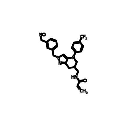 C=CC(=O)NCC1Cc2nn(Cc3cccc(CN=O)c3)cc2N(c2ccc(C(F)(F)F)cc2)C1